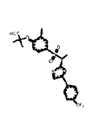 Cc1cc(S(=O)(=O)N(C)c2nc(-c3ccc(C(F)(F)F)cc3)cs2)ccc1OC(C)(C)C(=O)O